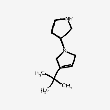 CC(C)(C)C1=CCN(C2CCNC2)C1